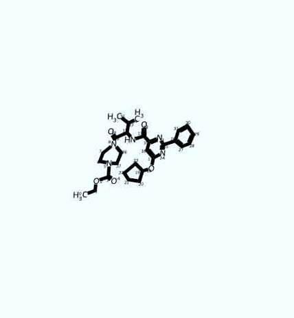 CCOC(=O)N1CCN(C(=O)C(NC(=O)c2cc(OC3CCCC3)nc(-c3ccccc3)n2)C(C)C)CC1